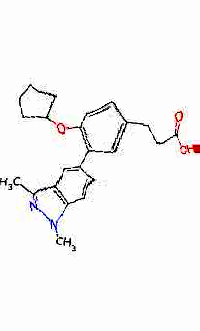 Cc1nn(C)c2ccc(-c3cc(CCC(=O)O)ccc3OC3CCCC3)cc12